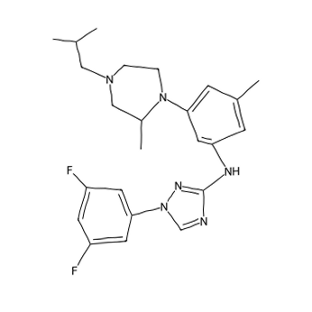 Cc1cc(Nc2ncn(-c3cc(F)cc(F)c3)n2)cc(N2CCN(CC(C)C)CC2C)c1